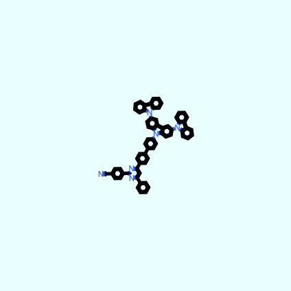 N#Cc1ccc(-c2nc(-c3ccccc3)cc(-c3ccc(-c4ccc(-n5c6ccc(-n7c8ccccc8c8ccccc87)cc6c6cc(-n7c8ccccc8c8ccccc87)ccc65)cc4)cc3)n2)cc1